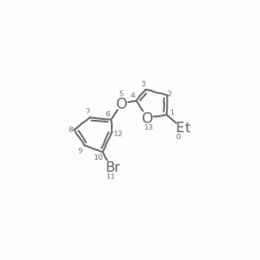 CCc1ccc(Oc2cccc(Br)c2)o1